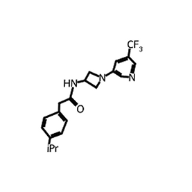 CC(C)c1ccc(CC(=O)NC2CN(c3cncc(C(F)(F)F)c3)C2)cc1